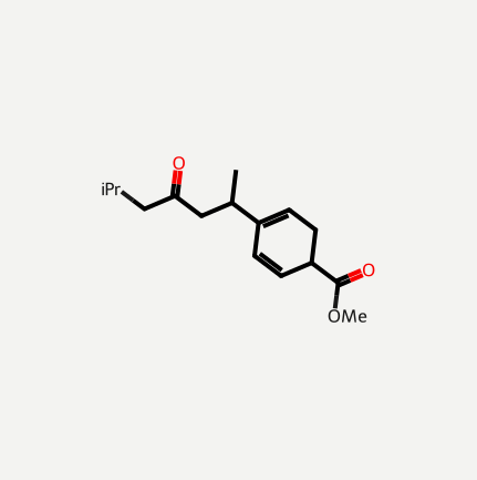 COC(=O)C1C=CC(C(C)CC(=O)CC(C)C)=CC1